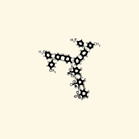 Cc1ccc([S+](c2ccc(C)cc2)c2ccc(Cc3ccc([I+]c4ccc(Cc5ccc([S+](c6ccc(C)cc6)c6ccc(C)cc6)cc5)cc4)cc3)cc2)cc1.O=S(=O)([O-])c1c(F)c(F)c(F)c(F)c1F.O=S(=O)([O-])c1c(F)c(F)c(F)c(F)c1F.O=S(=O)([O-])c1c(F)c(F)c(F)c(F)c1F